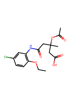 CCOc1ccc(Cl)cc1NC(=O)CC(C)(CC(=O)O)OC(C)=O